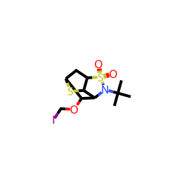 CC(C)(C)N1C2C(OCI)C3CC(C2S3)S1(=O)=O